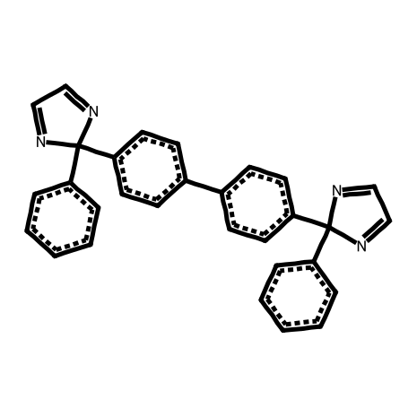 C1=NC(c2ccccc2)(c2ccc(-c3ccc(C4(c5ccccc5)N=CC=N4)cc3)cc2)N=C1